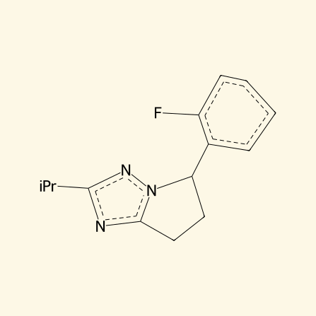 CC(C)c1nc2n(n1)C(c1ccccc1F)CC2